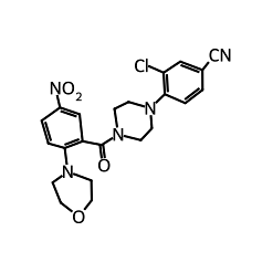 N#Cc1ccc(N2CCN(C(=O)c3cc([N+](=O)[O-])ccc3N3CCOCC3)CC2)c(Cl)c1